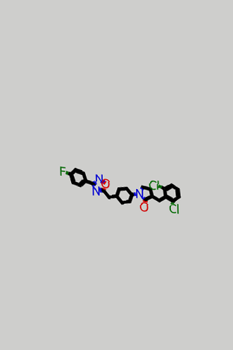 O=C1C(Cc2c(Cl)cccc2Cl)CCN1C1CCC(Cc2nc(-c3ccc(F)cc3)no2)CC1